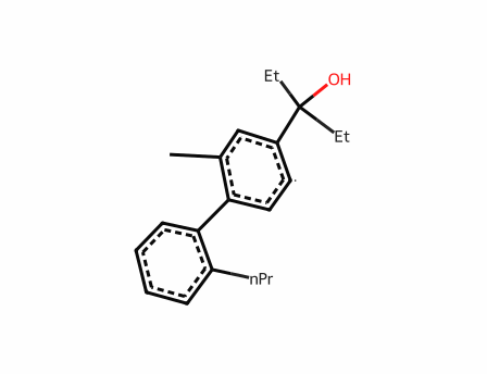 CCCc1ccccc1-c1c[c]c(C(O)(CC)CC)cc1C